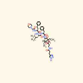 CC[C@@](C)(OC(=O)CCNC(=O)CCc1c[nH]nn1)C(=O)[C@H](CC(C)C)NC(=O)[C@H](Cc1ccccc1)NC(=O)[C@H](CC(C)C)NC(=O)[C@H](CCc1ccccc1)NC(=O)CN1CCOCC1